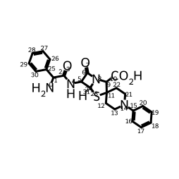 NC(C(=O)NC1C(=O)N2C(C(=O)O)C3(CCN(c4ccccc4)CC3)S[C@@H]12)c1ccccc1